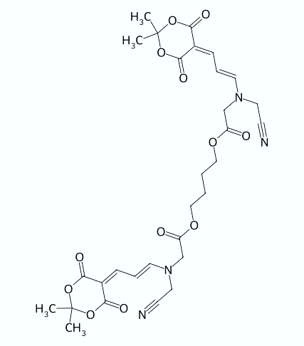 CC1(C)OC(=O)C(=C/C=C/N(CC#N)CC(=O)OCCCCOC(=O)CN(/C=C/C=C2C(=O)OC(C)(C)OC2=O)CC#N)C(=O)O1